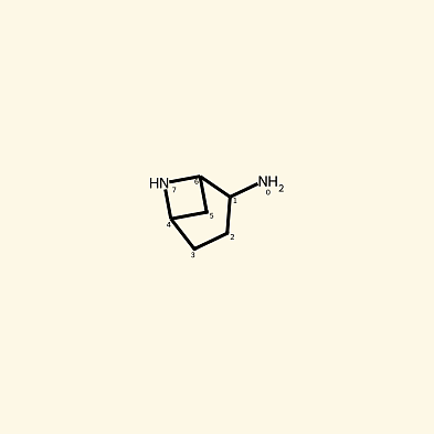 NC1CCC2CC1N2